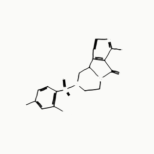 Cc1cc(F)ccc1S(=O)(=O)N1CCN2C(=O)c3c(ccnc3C)C2C1